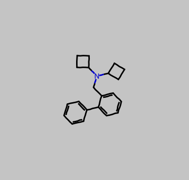 c1ccc(-c2ccccc2CN(C2CCC2)C2CCC2)cc1